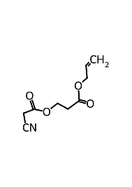 C=CCOC(=O)CCOC(=O)CC#N